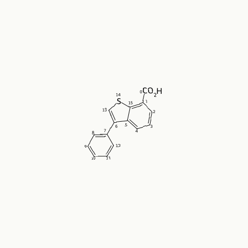 O=C(O)c1cccc2c(-c3ccccc3)csc12